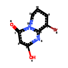 O=c1cc(O)nc2c(Br)cccn12